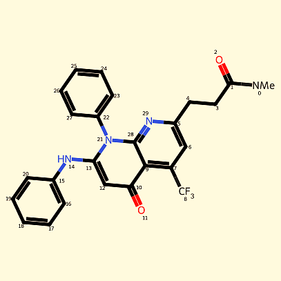 CNC(=O)CCc1cc(C(F)(F)F)c2c(=O)cc(Nc3ccccc3)n(-c3ccccc3)c2n1